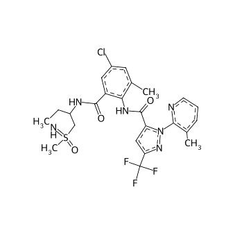 CCC(CS(C)(=N)=O)NC(=O)c1cc(Cl)cc(C)c1NC(=O)c1cc(C(F)(F)F)nn1-c1ncccc1C